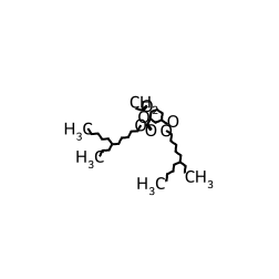 C=CC(=O)OC1(C(=O)OCCCCCC(CCC)CCCCC)CCCC(C(=O)OCCCCCC(CCC)CCCCC)C1